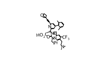 Cc1cccc(C)c1-c1cc(C#CC23COC(C2)C3)nc([C@H](CC(=O)O)NC(=O)[C@H](CC(C)C)n2cc(CCN(C)C)c(C(F)(F)F)cc2=O)c1